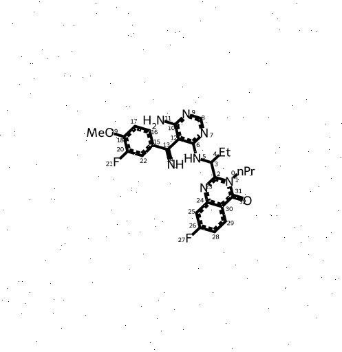 CCCn1c(C(CC)Nc2ncnc(N)c2C(=N)c2ccc(OC)c(F)c2)nc2cc(F)ccc2c1=O